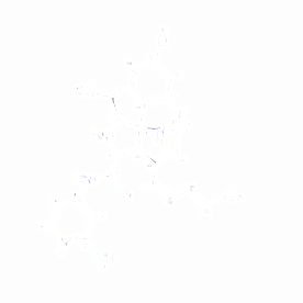 CC(C)(C)C[C@@H]1N[C@@H](C(=O)Nc2ccnc(O)c2)[C@H](C(/C=C\C=C\Cl)=C\F)[C@@]1(N)c1ccc(Cl)cc1F